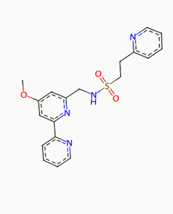 COc1cc(CNS(=O)(=O)CCc2ccccn2)nc(-c2ccccn2)c1